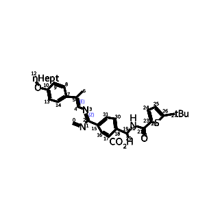 C=N/C(=N\C=C(/C)c1ccc(OCCCCCCC)cc1)c1ccc(C(NC(=O)c2ccc(C(C)(C)C)s2)C(=O)O)cc1